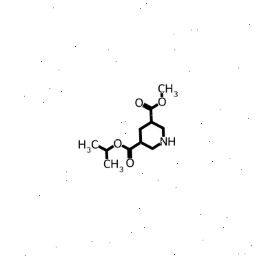 COC(=O)C1CNCC(C(=O)OC(C)C)C1